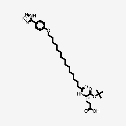 CC(C)(C)OC(=O)[C@H](CCC(=O)O)NC(=O)CCCCCCCCCCCCCCCOc1ccc(-c2nnn[nH]2)cc1